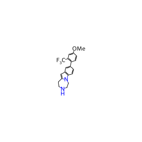 COc1ccc(-c2ccc3c(c2)cc2n3CCNCC2)c(C(F)(F)F)c1